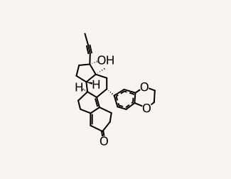 CC#C[C@]1(O)CC[C@H]2[C@@H]3CCC4=CC(=O)CCC4=C3[C@@H](c3ccc4c(c3)OCCO4)C[C@@]21C